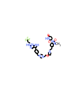 Cn1c(=O)n(C2CCC(=O)NC2=O)c2ccc(CCN3CCC(OCCN4CCN(Cc5ccc(-c6c[nH]c7nc(NCCC(F)(F)F)ncc67)cc5)CC4)C3)cc21